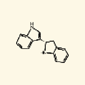 c1ccc2c(c1)C[C@@H](c1c[nH]c3ccccc13)N2